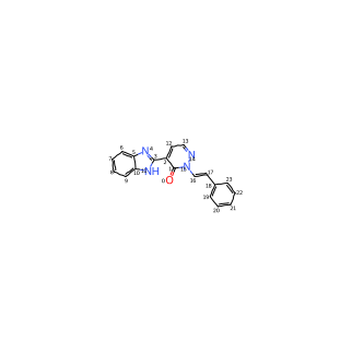 O=c1c(-c2nc3ccccc3[nH]2)ccnn1C=Cc1ccccc1